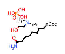 CCCCCCCCCCCCCCCCCC(N)=O.CCCN(C)CCO.O=P(O)(O)O